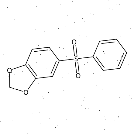 O=S(=O)(c1ccccc1)c1ccc2c(c1)OCO2